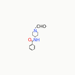 O=[C]CN1CCC(NC(=O)c2ccccc2)CC1